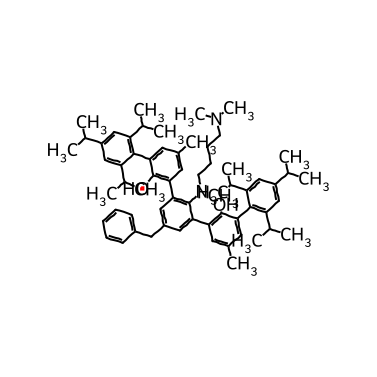 Cc1cc(-c2cc(Cc3ccccc3)cc(-c3cc(C)cc(-c4c(C(C)C)cc(C(C)C)cc4C(C)C)c3O)c2N(C)CCCCN(C)C)c(O)c(-c2c(C(C)C)cc(C(C)C)cc2C(C)C)c1